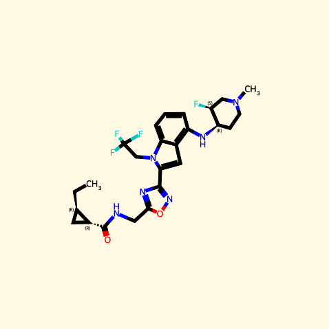 CC[C@@H]1C[C@H]1C(=O)NCc1nc(-c2cc3c(N[C@@H]4CCN(C)C[C@@H]4F)cccc3n2CC(F)(F)F)no1